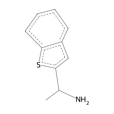 CC(N)c1cc2ccccc2s1